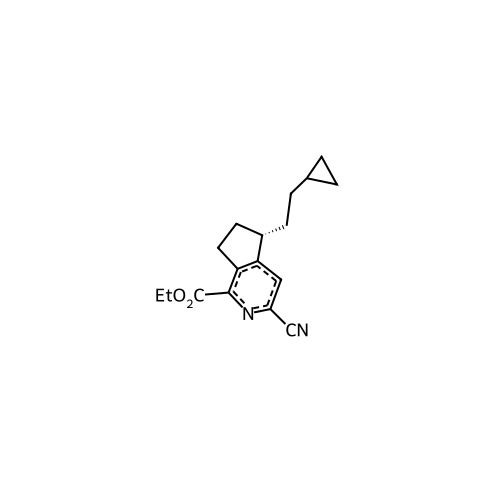 CCOC(=O)c1nc(C#N)cc2c1CC[C@@H]2CCC1CC1